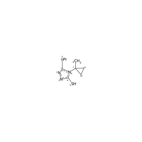 CCCc1nnc(S)n1C1(C)CC1